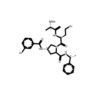 C=C(N[C@@H](CCC(C)=O)C(=O)N1C[C@@H](NC(=O)c2cccc(C(C)=O)c2)CC1C(=O)N[C@H](C)c1ccccc1)[C@H](C)NC